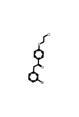 O=C(Cc1cccc(Br)c1)c1ccc(OCCCl)cc1